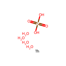 O.O.O.O.O=S(=O)(O)O.[Th]